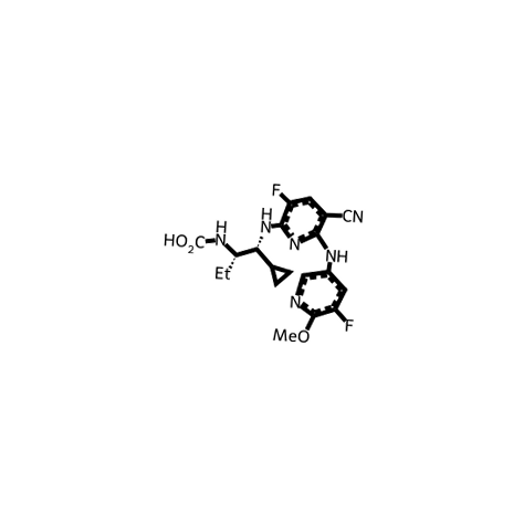 CC[C@H](NC(=O)O)[C@H](Nc1nc(Nc2cnc(OC)c(F)c2)c(C#N)cc1F)C1CC1